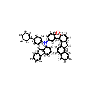 C1=C(c2ccc(N(c3ccc4oc5ccc6c(c5c4c3)-c3ccc4ccccc4c3C6)c3cccc4c3Cc3ccccc3-4)cc2)CCCC1